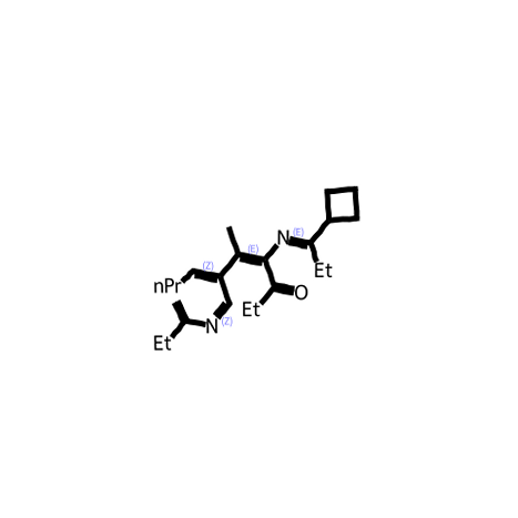 C=C(CC)\N=C/C(=C\CCC)C(/C)=C(/N=C(\CC)C1CCC1)C(=O)CC